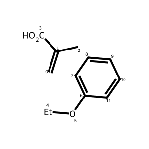 C=C(C)C(=O)O.CCOc1ccccc1